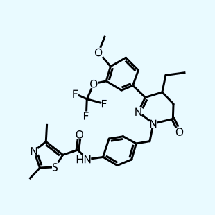 CCC1CC(=O)N(Cc2ccc(NC(=O)c3sc(C)nc3C)cc2)N=C1c1ccc(OC)c(OC(F)(F)F)c1